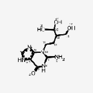 NC1NC(=O)c2[nH]cnc2N1CCC(CO)C(O)O